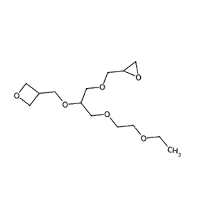 CCOCCOCC(COCC1CO1)OCC1COC1